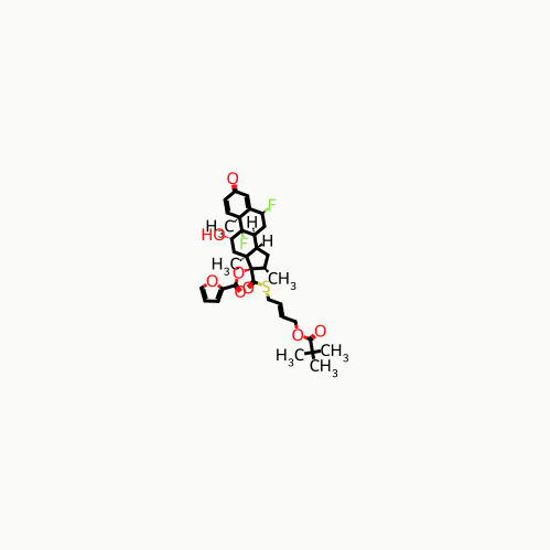 C[C@@H]1C[C@H]2[C@@H]3C[C@H](F)C4=CC(=O)C=C[C@]4(C)[C@@]3(F)[C@@H](O)C[C@]2(C)[C@@]1(OC(=O)c1ccco1)C(=O)SC/C=C/COC(=O)C(C)(C)C